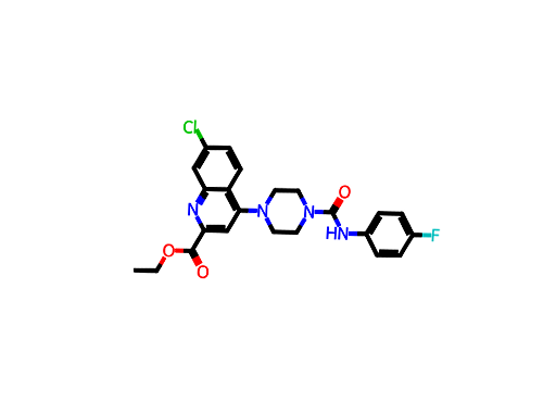 CCOC(=O)c1cc(N2CCN(C(=O)Nc3ccc(F)cc3)CC2)c2ccc(Cl)cc2n1